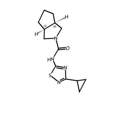 O=C(Nc1nc(C2CC2)ns1)N1C[C@H]2CCC[C@H]2C1